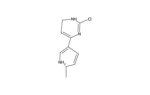 CC/C=C\C(=C/N)C1=CCNC(Cl)=N1